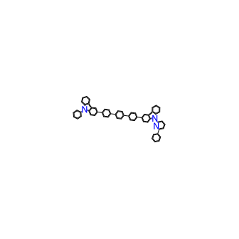 c1ccc(-c2cccc(-n3c4ccccc4c4cc(-c5ccc(-c6ccc(-c7ccc(-c8ccc9c(c8)c8ccccc8n9-c8ccccc8)cc7)cc6)cc5)ccc43)n2)cc1